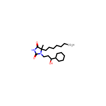 CC1(CCCCCCC(=O)O)C(=O)NC(=O)N1CCC(O)C1CCCCC1